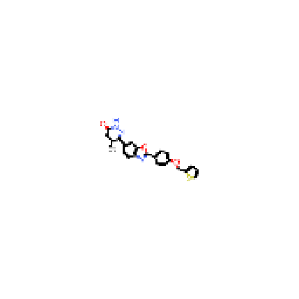 CCC1CC(=O)NN=C1c1ccc2nc(-c3ccc(OCc4cccs4)cc3)oc2c1